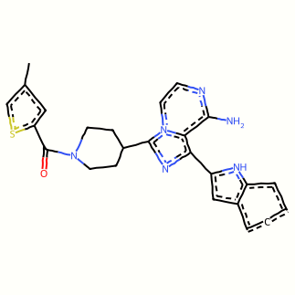 Cc1csc(C(=O)N2CCC(c3nc(-c4cc5ccccc5[nH]4)c4c(N)nccn34)CC2)c1